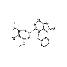 COc1cc(C2=CN=C3[N]C(=O)N=C3N2Cc2ccccc2)cc(OC)c1OC